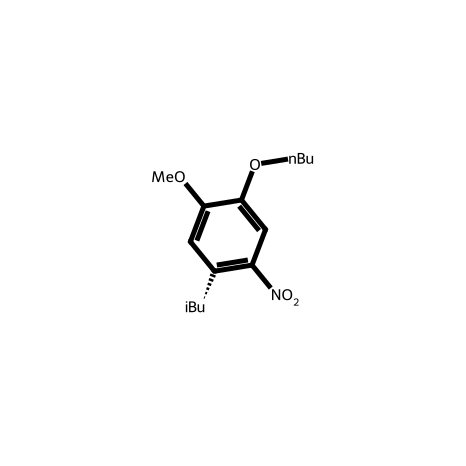 CCCCOc1cc([N+](=O)[O-])c([C@@H](C)CC)cc1OC